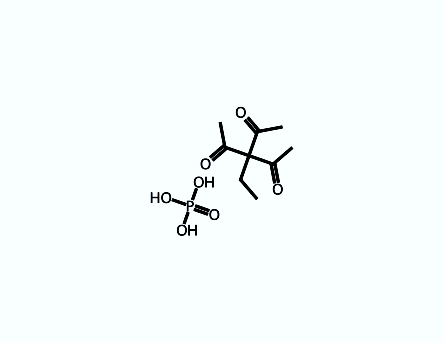 CCC(C(C)=O)(C(C)=O)C(C)=O.O=P(O)(O)O